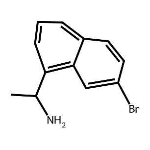 CC(N)c1cccc2ccc(Br)cc12